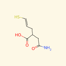 NC(=O)CC(CC=CS)C(=O)O